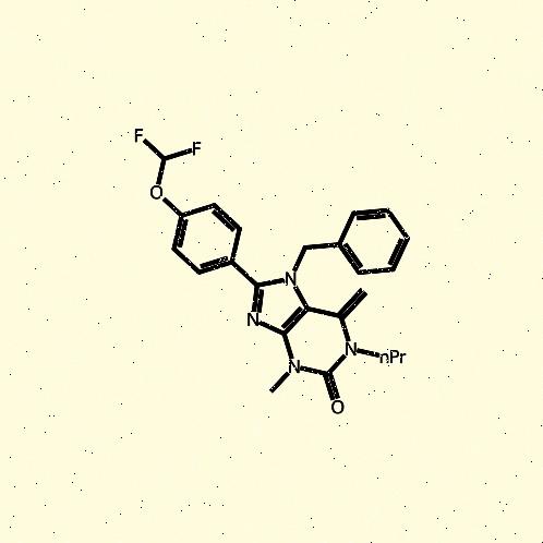 C=C1c2c(nc(-c3ccc(OC(F)F)cc3)n2Cc2ccccc2)N(C)C(=O)N1CCC